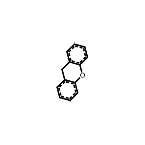 [c]1ccc2c(c1)Cc1cc[c]cc1O2